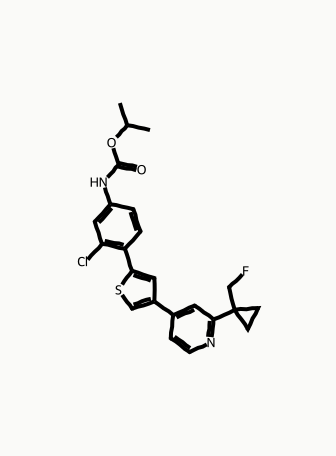 CC(C)OC(=O)Nc1ccc(-c2cc(-c3ccnc(C4(CF)CC4)c3)cs2)c(Cl)c1